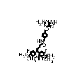 CC(C)[Si]1(C(C)C)c2cc(N(C)C)c(F)cc2C(=CCCC(=O)NCc2ccc(COc3nc(N)nc4[nH]cnc34)cc2)c2cc(F)c(N(C)C)cc21